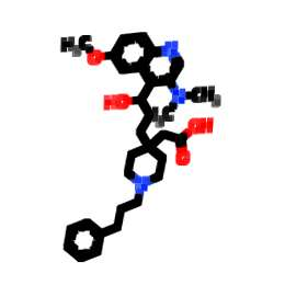 COc1ccc2ncc(N(C)C)c(C(O)CCC3(CC(=O)O)CCN(CCCc4ccccc4)CC3)c2c1